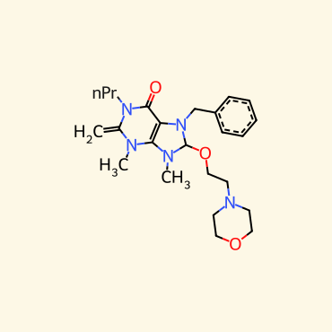 C=C1N(C)C2=C(C(=O)N1CCC)N(Cc1ccccc1)C(OCCN1CCOCC1)N2C